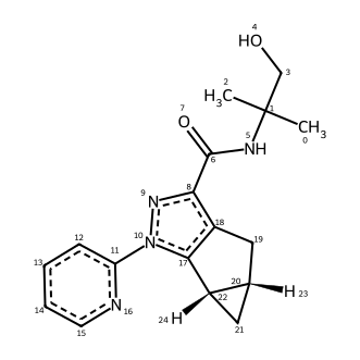 CC(C)(CO)NC(=O)c1nn(-c2ccccn2)c2c1C[C@@H]1C[C@H]21